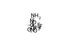 CCn1c(=O)c2c(C)c(CN3CC(N)CC3=O)sc2n(CCC(F)(F)F)c1=O